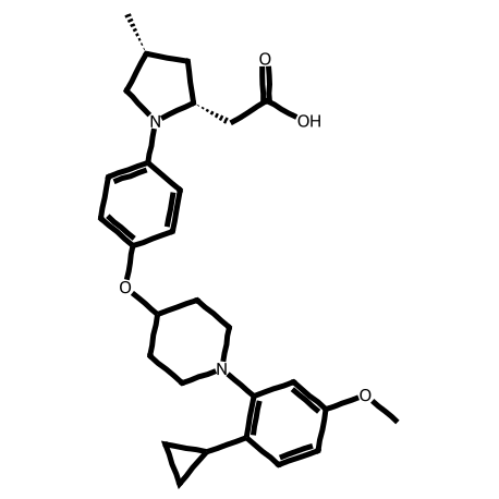 COc1ccc(C2CC2)c(N2CCC(Oc3ccc(N4C[C@H](C)C[C@@H]4CC(=O)O)cc3)CC2)c1